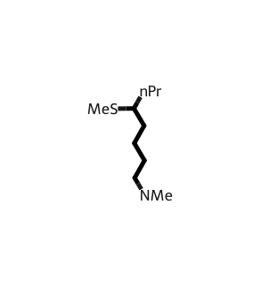 CCCC(CCCCNC)SC